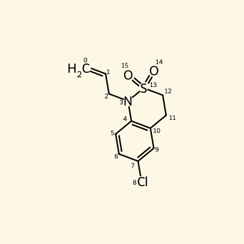 C=CCN1c2ccc(Cl)cc2CCS1(=O)=O